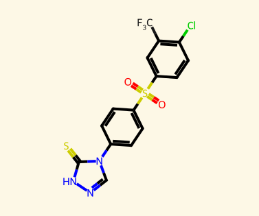 O=S(=O)(c1ccc(-n2cn[nH]c2=S)cc1)c1ccc(Cl)c(C(F)(F)F)c1